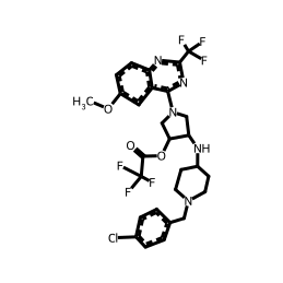 COc1ccc2nc(C(F)(F)F)nc(N3CC(NC4CCN(Cc5ccc(Cl)cc5)CC4)C(OC(=O)C(F)(F)F)C3)c2c1